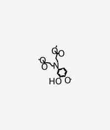 COC(=O)CCN(CCC(=O)OC)c1ccc(OC)c(O)c1